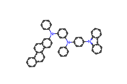 c1ccc(N(c2ccc(-n3c4ccccc4c4ccccc43)cc2)c2cccc(N(c3ccccc3)c3ccc4c(ccc5c6ccccc6ccc45)c3)c2)cc1